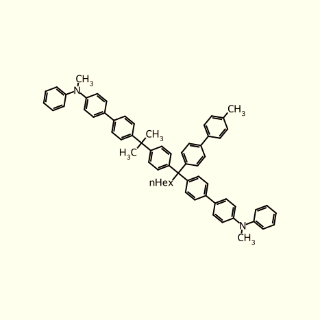 CCCCCCC(c1ccc(-c2ccc(C)cc2)cc1)(c1ccc(-c2ccc(N(C)c3ccccc3)cc2)cc1)c1ccc(C(C)(C)c2ccc(-c3ccc(N(C)c4ccccc4)cc3)cc2)cc1